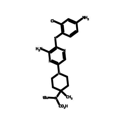 CC(C)(C)N(C(=O)O)C1(C)CCN(c2cnc(Sc3ccc(N)cc3Cl)c(N)n2)CC1